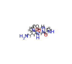 NCCCC[C@H](NC(=O)CNC(=O)[C@@H]1CCCN1)C(=O)N1CCC[C@H]1C(=O)O